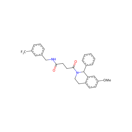 COc1ccc2c(c1)C(c1ccccc1)N(C(=O)CCC(=O)NCc1cccc(C(F)(F)F)c1)CC2